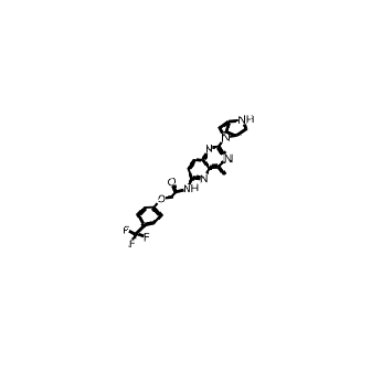 Cc1nc(N2CC3CC2CN3)nc2ccc(NC(=O)COc3ccc(C(F)(F)F)cc3)nc12